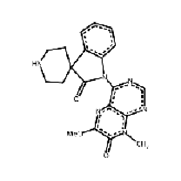 COc1nc2c(N3C(=O)C4(CCNCC4)c4ccccc43)ncnc2n(C)c1=O